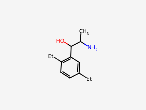 CCc1ccc(CC)c(C(O)C(C)N)c1